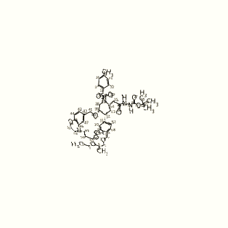 CCOC(C)COCc1ccc([C@H]2C[C@H](CC(=O)NNC(=O)OC(C)(C)C)N(S(=O)(=O)c3ccc(C)cc3)C[C@@H]2OCc2ccc3c(c2)N(CCCOC)CCO3)cc1